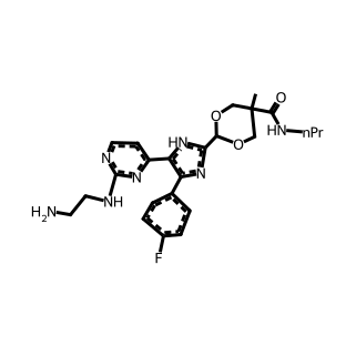 CCCNC(=O)C1(C)COC(c2nc(-c3ccc(F)cc3)c(-c3ccnc(NCCN)n3)[nH]2)OC1